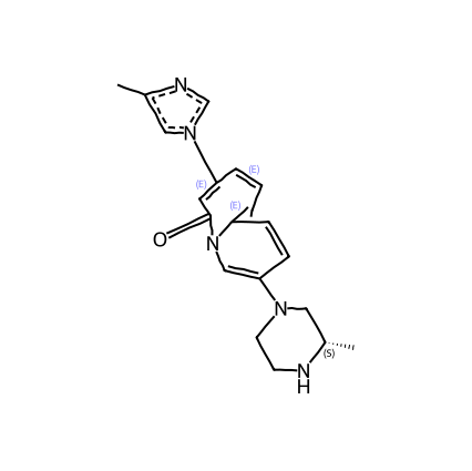 Cc1cn(C2=C\C(=O)N3C=C(N4CCN[C@@H](C)C4)C=C\C3=C/C=C/2)cn1